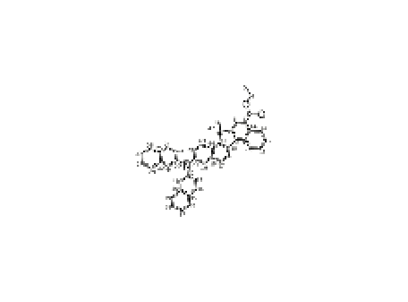 CCOC(=O)c1cc2c(c3ccccc13)-c1ccc3cc(N(c4ccc5ccccc5c4)c4ccc5ccccc5c4)ccc3c1C2(C)C